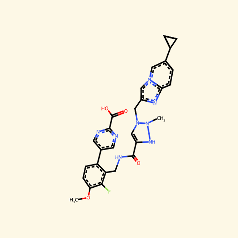 COc1ccc(-c2cnc(C(=O)O)nc2)c(CNC(=O)C2=CN(Cc3cn4cc(C5CC5)ccc4n3)N(C)N2)c1F